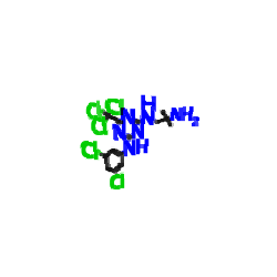 CC(C)(N)CNc1nc(Nc2cc(Cl)cc(Cl)c2)nc(C(Cl)(Cl)Cl)n1